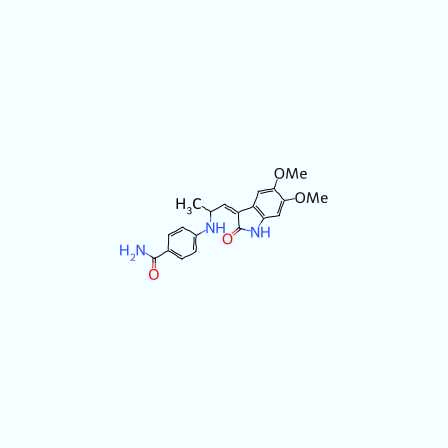 COc1cc2c(cc1OC)C(=CC(C)Nc1ccc(C(N)=O)cc1)C(=O)N2